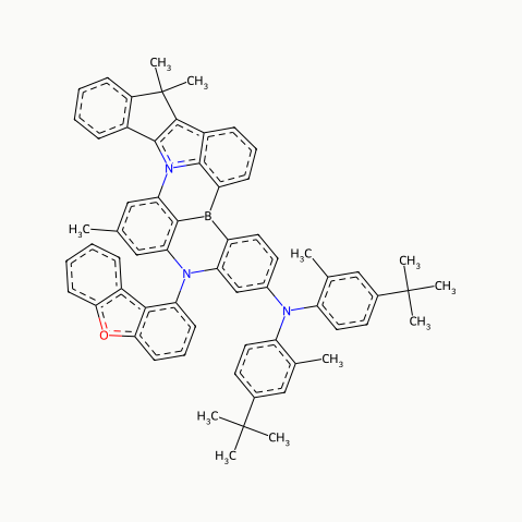 Cc1cc2c3c(c1)-n1c4c(c5cccc(c51)B3c1ccc(N(c3ccc(C(C)(C)C)cc3C)c3ccc(C(C)(C)C)cc3C)cc1N2c1cccc2oc3ccccc3c12)C(C)(C)c1ccccc1-4